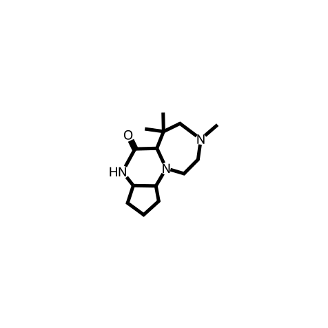 CN1CCN2C3CCCC3NC(=O)C2C(C)(C)C1